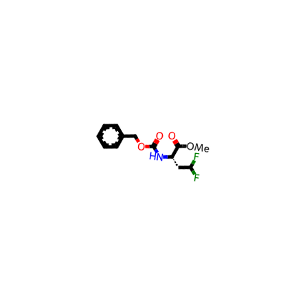 COC(=O)[C@H](CC(F)F)NC(=O)OCc1ccccc1